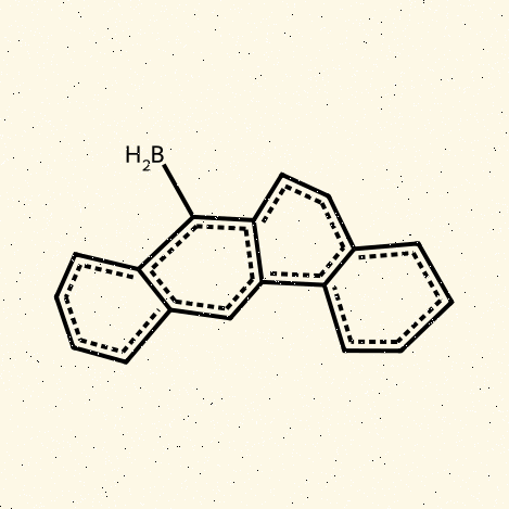 Bc1c2ccccc2cc2c1ccc1ccccc12